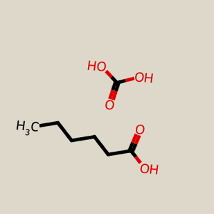 CCCCCC(=O)O.O=C(O)O